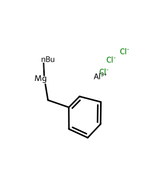 CCC[CH2][Mg][CH2]c1ccccc1.[Al+3].[Cl-].[Cl-].[Cl-]